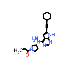 C=CC(=O)N1CC[C@@H](N(N)c2ncnc3[nH]c(C#CC4CCCCC4)cc23)C1